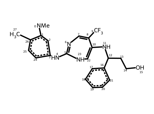 CNc1cc(NC2=NC=C(C(F)(F)F)C(NC(CCO)c3ccccc3)=CN2)ccc1C